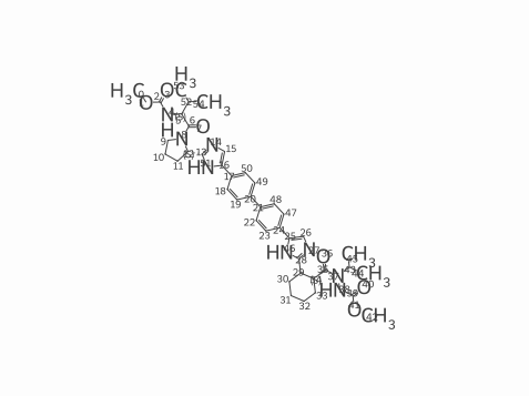 COC(=O)N[C@H](C(=O)N1CCC[C@H]1c1ncc(-c2ccc(-c3ccc(-c4cnc(C5CCCC[C@@H]5C(=O)N(NC(=O)OC)C(C)C)[nH]4)cc3)cc2)[nH]1)C(C)C